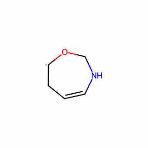 [CH]1CC=CNCO1